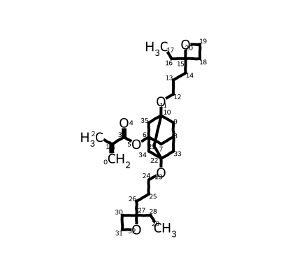 C=C(C)C(=O)OC12CC3CC(OCCCC4(CC)CCO4)(CC(OCCCC4(CC)CCO4)(C3)C1)C2